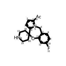 CC(=O)c1ccc2n1Cc1ccc(F)cc1OC21CCNCC1